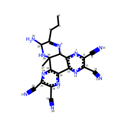 CCCC1=NC2c3nc(C#N)c(C#N)nc3-c3nc(C#N)c(C#N)nc3C2(C)NC1N